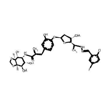 C/C(=C\c1ccc(O[C@H]2C[C@H](O)[C@@H](C(C)NN=Cc3cc(F)ccc3Cl)O2)c(O)c1)C(=O)N[C@@H]1[C@H](O)[C@@H](O)[C@H]2OCO[C@H]2[C@@H]1O